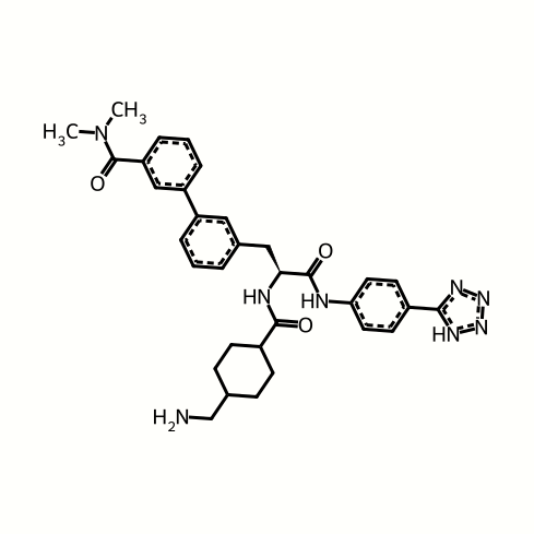 CN(C)C(=O)c1cccc(-c2cccc(C[C@H](NC(=O)C3CCC(CN)CC3)C(=O)Nc3ccc(-c4nnn[nH]4)cc3)c2)c1